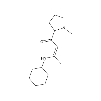 C/C(=C/C(=O)C1CCCN1C)NC1CCCCC1